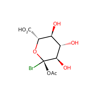 CC(=O)O[C@@]1(Br)O[C@H](C(=O)O)[C@@H](O)[C@H](O)[C@H]1O